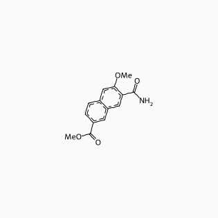 COC(=O)c1ccc2cc(OC)c(C(N)=O)cc2c1